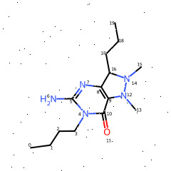 CCCCn1c(N)nc2c(c1=O)N(C)N(C)C2CCC